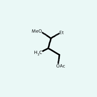 CCC(OC)C(C)COC(C)=O